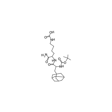 CC(C)(C)OC(=O)NC(CC12CC3CC(CC(C3)C1)C2)C(=O)NC(CCCCNC(=O)O)C(N)=O